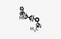 Cc1ncc(-c2cccc(-c3ncc(/C(C=N)=C/NCC(=O)N4CCCC4)cn3)c2)s1